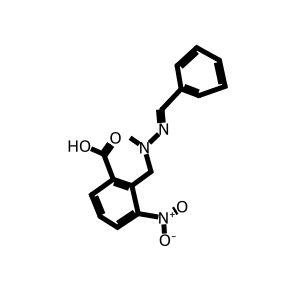 CN(Cc1c(C(=O)O)cccc1[N+](=O)[O-])/N=C/c1ccccc1